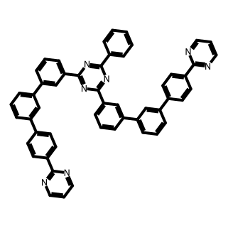 c1ccc(-c2nc(-c3cccc(-c4cccc(-c5ccc(-c6ncccn6)cc5)c4)c3)nc(-c3cccc(-c4cccc(-c5ccc(-c6ncccn6)cc5)c4)c3)n2)cc1